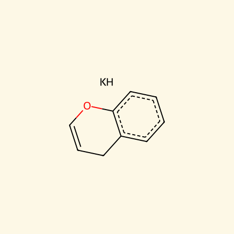 C1=COc2ccccc2C1.[KH]